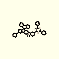 c1ccc(-c2ccc(C3(c4ccc5oc6ccc(-c7nc(-c8ccccc8)nc(-c8ccccc8)n7)cc6c5c4)c4ccccc4-c4ccccc43)cc2)cc1